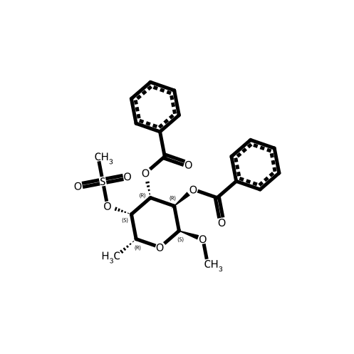 CO[C@H]1O[C@H](C)[C@H](OS(C)(=O)=O)[C@H](OC(=O)c2ccccc2)[C@H]1OC(=O)c1ccccc1